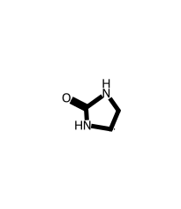 O=C1N[CH]CN1